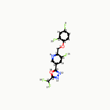 Fc1ccc(OCc2ncc(-c3nnc(C(F)F)o3)cc2F)c(F)c1